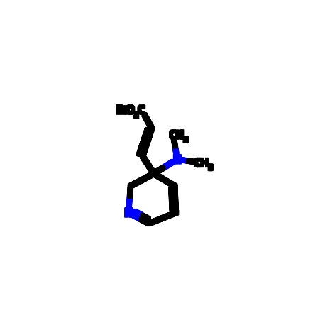 CCOC(=O)C=CC1(N(C)C)C=CC=NC1